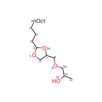 CCCCCCCCCCCC1OCC(COCC(C)O)O1